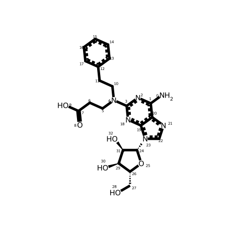 Nc1nc(N(CCC(=O)O)CCc2ccccc2)nc2c1ncn2[C@@H]1O[C@H](CO)[C@@H](O)[C@H]1O